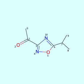 CC(=O)c1noc(C(C)C)n1